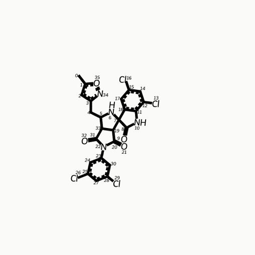 Cc1cc(CC2NC3(C(=O)Nc4c(Cl)cc(Cl)cc43)C3C(=O)N(c4cc(Cl)cc(Cl)c4)C(=O)C23)no1